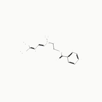 CCN(/C=C/C=C(C#N)C#N)CCOC(=O)c1ccccc1